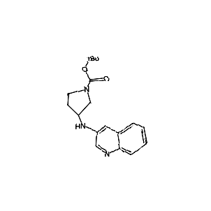 CC(C)(C)OC(=O)N1CCC(Nc2cnc3ccccc3c2)C1